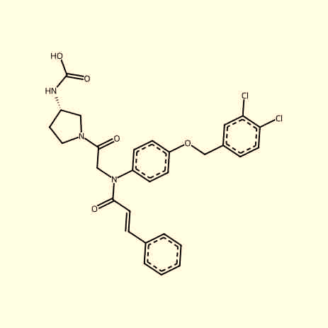 O=C(O)N[C@H]1CCN(C(=O)CN(C(=O)C=Cc2ccccc2)c2ccc(OCc3ccc(Cl)c(Cl)c3)cc2)C1